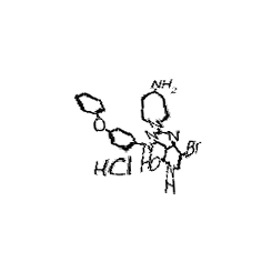 Cl.NC1CCN(c2nc(Nc3ccc(Oc4ccccc4)cc3)c3c(=O)[nH]cc(Br)c3n2)CC1